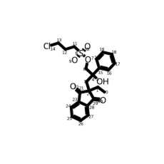 CCC1(CC(O)(COS(=O)(=O)CCCCl)c2ccccc2)C(=O)c2ccccc2C1=O